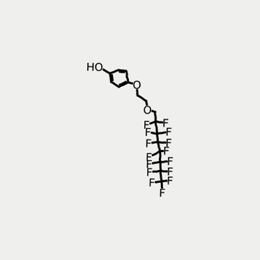 Oc1ccc(OCCOCC(F)(F)C(F)(F)C(F)(F)C(F)(F)C(F)(F)C(F)(F)C(F)(F)F)cc1